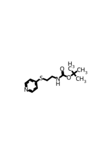 CC(C)(C)OC(=O)NCCSc1ccncc1